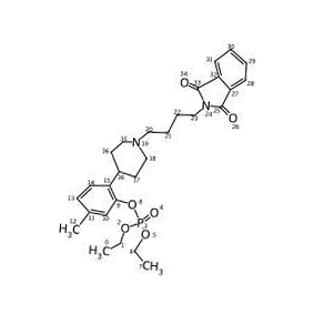 CCOP(=O)(OCC)Oc1cc(C)ccc1C1CCN(CCCCN2C(=O)c3ccccc3C2=O)CC1